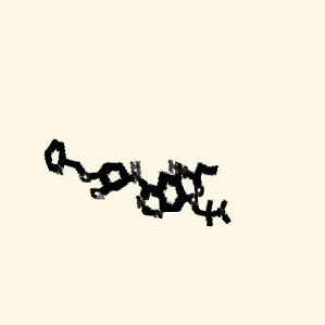 C=CC(=O)Nc1cc2c(Nc3ccc(OCc4ccccn4)c(Cl)c3)ncnc2cc1OCC(C)(C)N(C)C